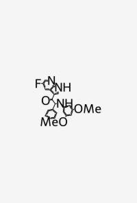 COc1cc(NC(C(=O)c2c[nH]c3ncc(F)cc23)c2ccccc2)cc(OC)c1